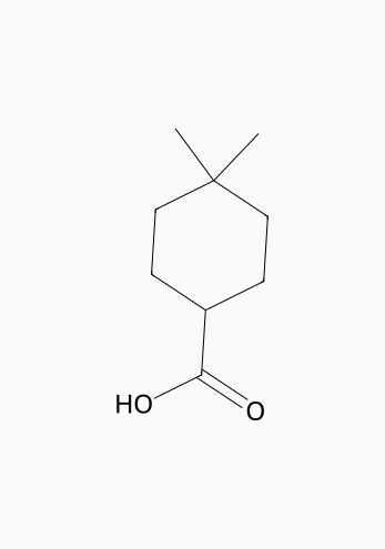 CC1(C)CCC(C(=O)O)CC1